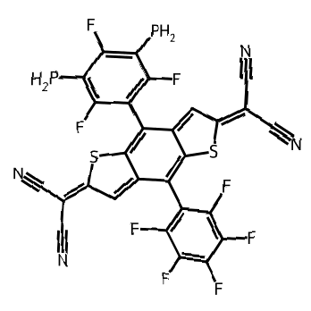 N#CC(C#N)=c1cc2c(-c3c(F)c(P)c(F)c(P)c3F)c3sc(=C(C#N)C#N)cc3c(-c3c(F)c(F)c(F)c(F)c3F)c2s1